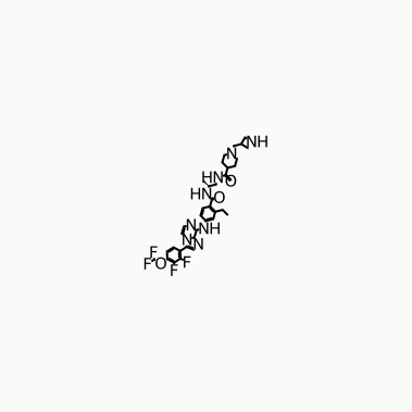 CCc1cc(Nc2nccn3c(-c4ccc(OC(F)F)c(F)c4F)cnc23)ccc1C(=O)N[C@@H](C)CNC(=O)C1CCN(CC2CNC2)CC1